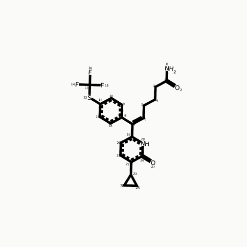 NC(=O)CCC/C=C(\c1ccc(SC(F)(F)F)cc1)c1ccc(C2CC2)c(=O)[nH]1